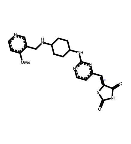 COc1ccncc1CNC1CCC(Nc2nccc(/C=C3\SC(=O)NC3=O)n2)CC1